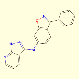 c1ccc(-c2noc3cc(Nc4n[nH]c5ncccc45)ccc23)cc1